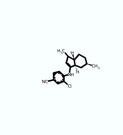 CC1C=C(Nc2ccc(C#N)cc2Cl)[C@@H]2C[C@H](C)CC[C@@H]12